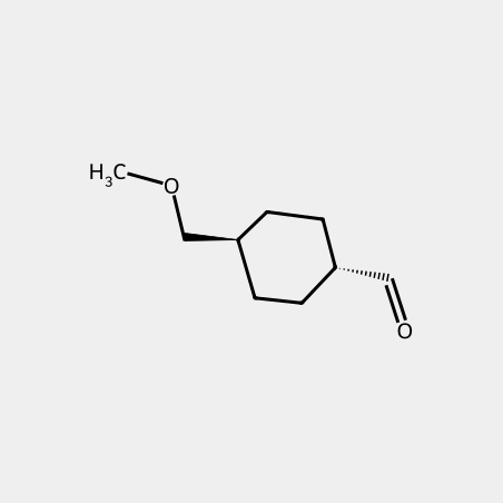 COC[C@H]1CC[C@H](C=O)CC1